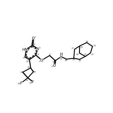 O=C(COc1nc(=O)[nH]cc1C1CC(F)(F)C1)NCC1CC2CCCC(C2)C1